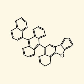 C1=Cc2c(-c3c4ccccc4c(-c4cccc5ccccc45)c4ccccc34)cc3c(oc4ccccc43)c2CC1